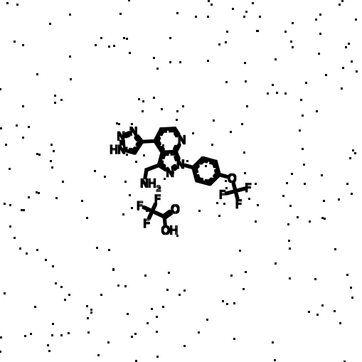 NCc1nn(-c2ccc(OC(F)(F)F)cc2)c2nccc(-c3c[nH]nn3)c12.O=C(O)C(F)(F)F